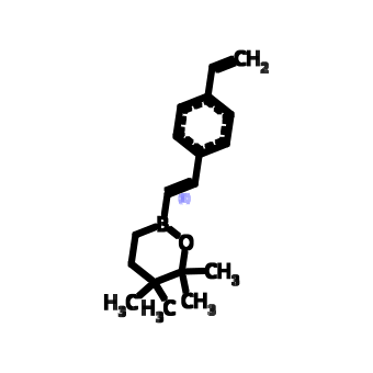 C=Cc1ccc(/C=C/B2CCC(C)(C)C(C)(C)O2)cc1